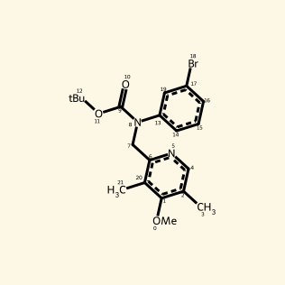 COc1c(C)cnc(CN(C(=O)OC(C)(C)C)c2cccc(Br)c2)c1C